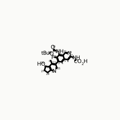 Cc1c(-c2cc3cc(NC(=O)O)ncc3c(NC(=O)OC(C)(C)C)c2F)cnc2c1C(O)CC2